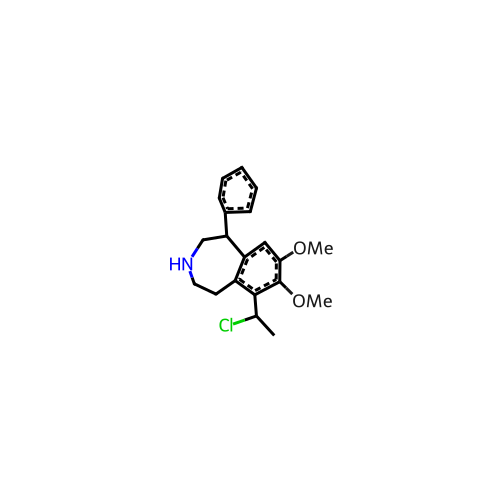 COc1cc2c(c(C(C)Cl)c1OC)CCNCC2c1ccccc1